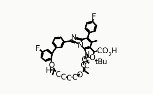 Cc1c([C@H](OC(C)(C)C)C(=O)O)c2n3cc(nc3c1-c1ccc(F)cc1)-c1cccc(c1)-c1cc(F)ccc1O[C@@H](C)CCCCOC1(C)CCN2CC1